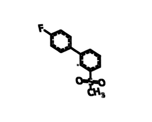 CS(=O)(=O)c1[c]c(-c2ccc(F)cc2)ccc1